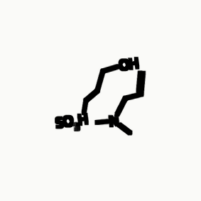 C=CCN(C)C.O=S(=O)(O)CCCO